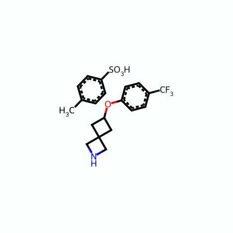 Cc1ccc(S(=O)(=O)O)cc1.FC(F)(F)c1ccc(OC2CC3(CNC3)C2)cc1